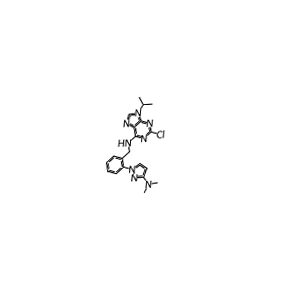 CC(C)n1cnc2c(NCc3ccccc3-n3ccc(N(C)C)n3)nc(Cl)nc21